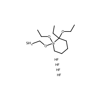 CCOC1(CC)CCCC[Si]1(OCC)OCC.F.F.F.F.[SiH4]